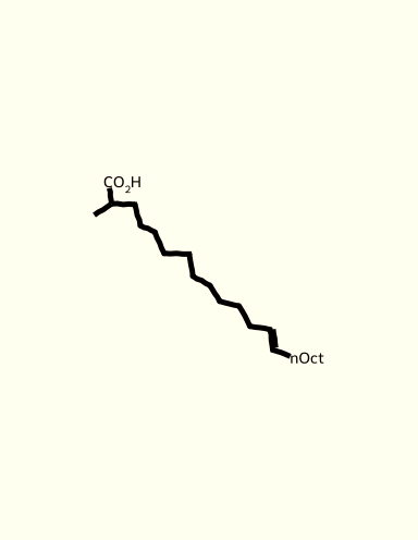 CCCCCCCCC=CCCCCCCCCCCC(C)C(=O)O